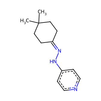 CC1(C)CCC(=NNc2ccncc2)CC1